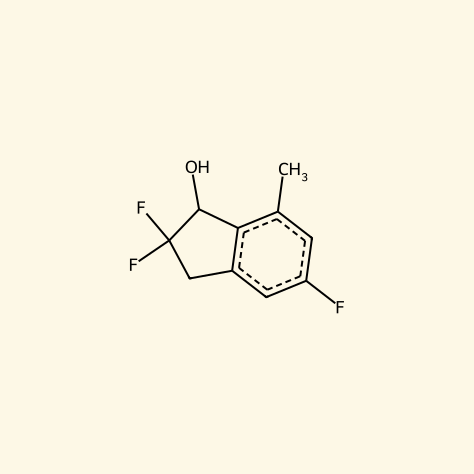 Cc1cc(F)cc2c1C(O)C(F)(F)C2